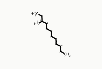 [CH2]CC(S)CCCCCCCCC